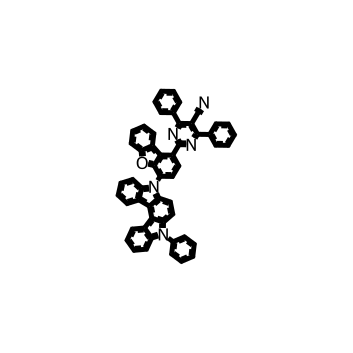 N#Cc1c(-c2ccccc2)nc(-c2ccc(-n3c4ccccc4c4c5c6ccccc6n(-c6ccccc6)c5ccc43)c3oc4ccccc4c23)nc1-c1ccccc1